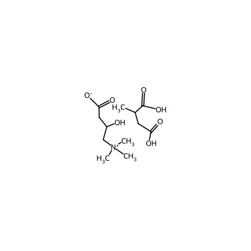 CC(CC(=O)O)C(=O)O.C[N+](C)(C)CC(O)CC(=O)[O-]